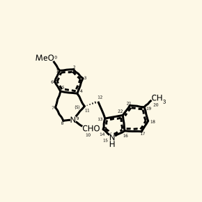 COc1ccc2c(c1)CCN(C=O)[C@H]2Cc1c[nH]c2ccc(C)cc12